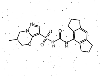 CC1COc2c(S(=O)(=O)NC(=O)Nc3c4c(cc5c3CCC5)CCC4)cnn2C1